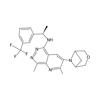 Cc1nc2c(C)nnc(N[C@H](C)c3cccc(C(F)(F)F)c3)c2cc1N1C2COCC1C2